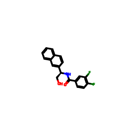 O=C(N[C@@H](CO)c1ccc2ccccc2c1)c1ccc(F)c(F)c1